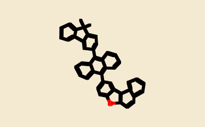 CC1(C)c2ccccc2-c2cc(-c3c4ccccc4c(-c4ccc5oc6ccc7ccccc7c6c5c4)c4ccccc34)ccc21